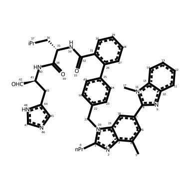 CCCc1nc2c(C)cc(-c3nc4ccccc4n3C)cc2n1Cc1ccc(-c2ccccc2C(=O)N[C@@H](CC(C)C)C(=O)N[C@H](C=O)Cc2cnc[nH]2)cc1